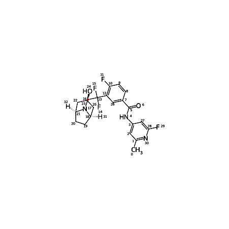 Cc1cc(NC(=O)c2ccc(F)c(C(F)(F)CN3[C@@H]4CC[C@H]3C[C@@H](O)C4)c2)cc(F)n1